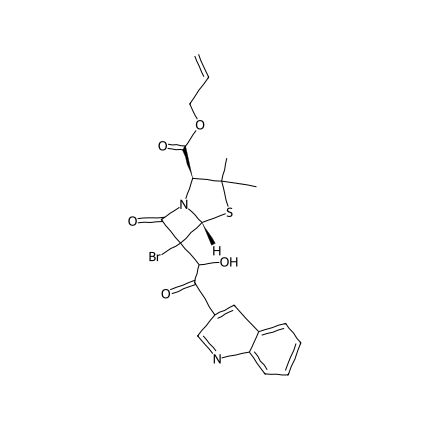 C=CCOC(=O)[C@@H]1N2C(=O)C(Br)(C(O)C(=O)c3cnc4ccccc4c3)[C@H]2SC1(C)C